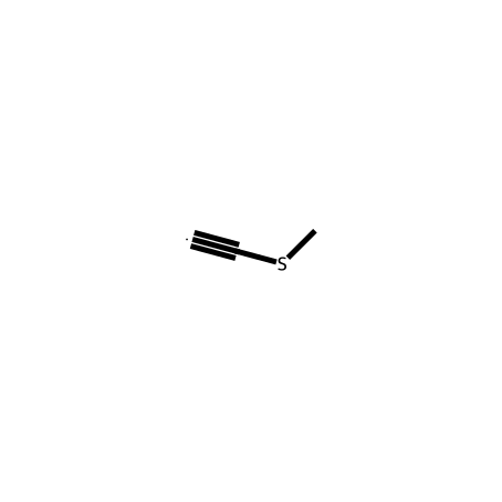 [C]#CSC